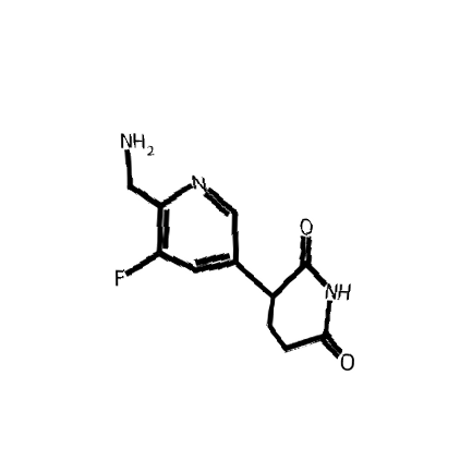 NCc1ncc(C2CCC(=O)NC2=O)cc1F